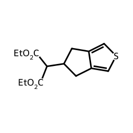 CCOC(=O)C(C(=O)OCC)C1Cc2cscc2C1